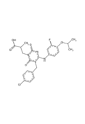 CC(C)Oc1ccc(Nc2nc(=O)n(CC(C)C(=O)O)c(=O)n2Cc2ccc(Cl)cc2)cc1F